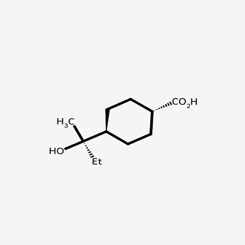 CC[C@@](C)(O)[C@H]1CC[C@H](C(=O)O)CC1